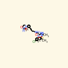 Cc1sc2c(c1C)C(c1ccc(Cl)cc1)=N[C@@H](CC(=O)NCCCC#Cc1cccc(N3CCC(=O)NC3=O)c1C)c1nnc(C)n1-2